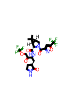 CC1(C)[C@@H]2[C@@H](C(=O)NC(C[C@@H]3CCNC3=O)C(=O)COC(F)(F)F)N(C(=O)c3cc(C(F)(F)F)on3)C[C@@H]21